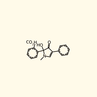 CN1C=C(c2ccccc2)C(=O)C1(O)c1ccccc1C(=O)O